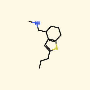 CCCc1cc2c(s1)CCCC2CNC